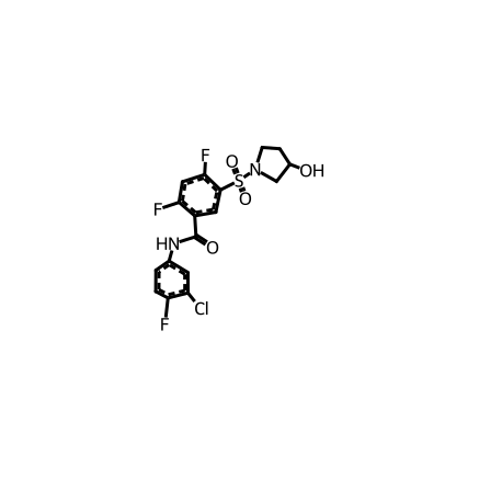 O=C(Nc1ccc(F)c(Cl)c1)c1cc(S(=O)(=O)N2CCC(O)C2)c(F)cc1F